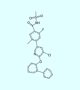 Cc1cc(C(=O)NS(C)(=O)=O)c(F)cc1-c1cnc(Oc2ccccc2-c2ccccc2)c(Cl)c1